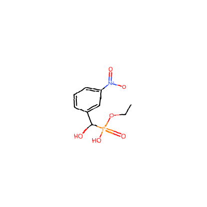 CCOP(=O)(O)C(O)c1cccc([N+](=O)[O-])c1